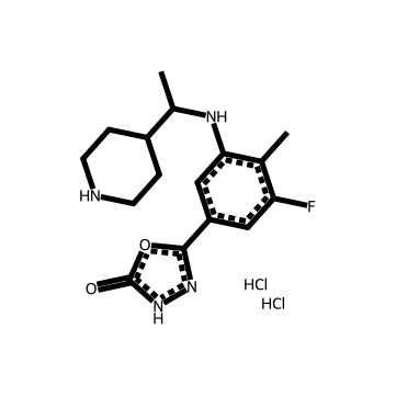 Cc1c(F)cc(-c2n[nH]c(=O)o2)cc1NC(C)C1CCNCC1.Cl.Cl